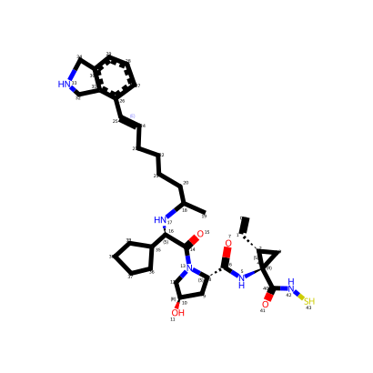 C=C[C@@H]1C[C@]1(NC(=O)[C@@H]1C[C@@H](O)CN1C(=O)[C@@H](NC(C)CCCC/C=C/c1cccc2c1CNC2)C1CCCC1)C(=O)NS